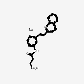 O=C(O)CCC(=O)Nc1cccc(C=Cc2ccc3ccccc3n2)c1.[Na]